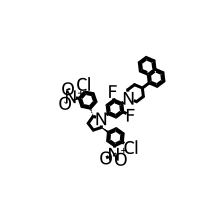 O=[N+]([O-])c1cc([C@H]2CC[C@H](c3ccc(Cl)c([N+](=O)[O-])c3)N2c2cc(F)c(N3CCC(c4cccc5ccccc45)CC3)c(F)c2)ccc1Cl